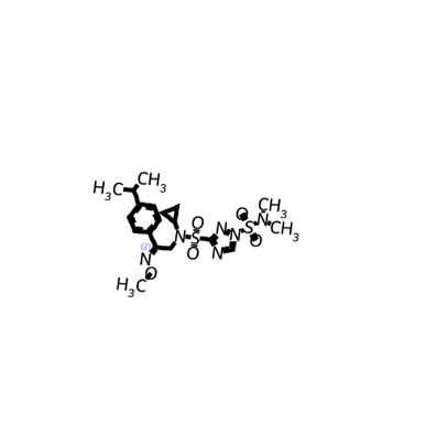 CO/N=C(\CN(C1CC1)S(=O)(=O)c1ncn(S(=O)(=O)N(C)C)n1)c1ccc(C(C)C)cc1